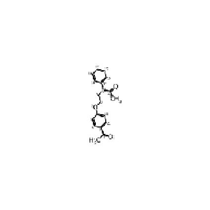 CC(=O)c1ccc(OCCN(C(C)=O)c2ccccc2)cc1